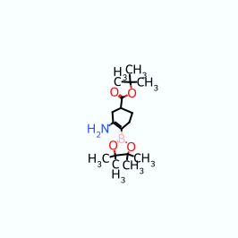 CC(C)(C)OC(=O)C1CCC(B2OC(C)(C)C(C)(C)O2)=C(N)C1